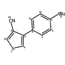 CC(C)(C)c1ccc(-c2cscc2C#N)cc1